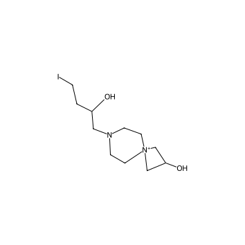 OC(CCI)CN1CC[N+]2(CC1)CC(O)C2